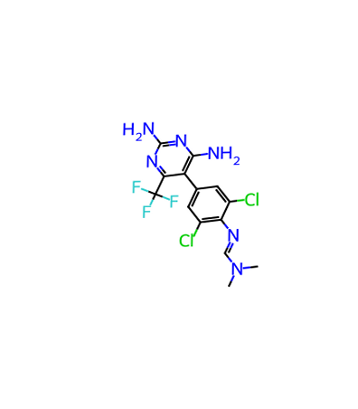 CN(C)C=Nc1c(Cl)cc(-c2c(N)nc(N)nc2C(F)(F)F)cc1Cl